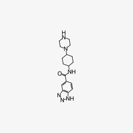 O=C(NC1CCC(N2CCNCC2)CC1)c1ccc2[nH]nnc2c1